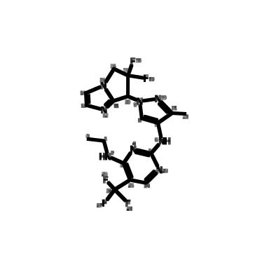 CCNc1nc(Nc2cn(C3c4nccn4CC3(F)F)nc2C)ncc1C(F)(F)F